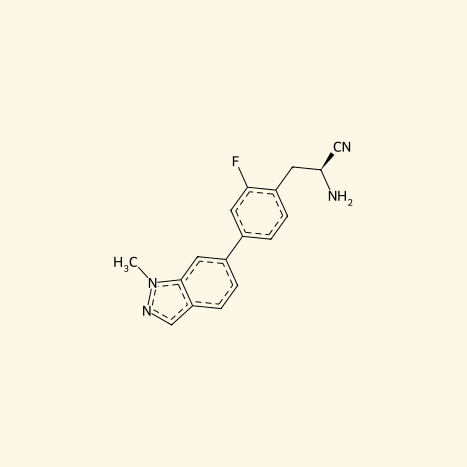 Cn1ncc2ccc(-c3ccc(C[C@H](N)C#N)c(F)c3)cc21